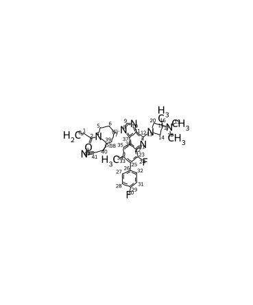 C=CC(=O)N1CC[C@H](n2cnc3c(N4CC(C)(N(C)C)C4)nc4c(F)c(-c5ccc(F)cc5)c(C)cc4c32)C[C@H]1CC#N